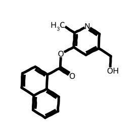 Cc1ncc(CO)cc1OC(=O)c1cccc2ccccc12